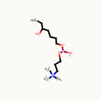 CCCCCCCCCCCC(O)CCCCOP(O)OCCC[N+](C)(C)C